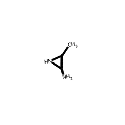 CC1NC1N